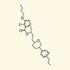 CCCCOc1ccc2c(c1F)C(=O)OC(CCC1CCC(c3ccc(CCC)cc3)CO1)C2